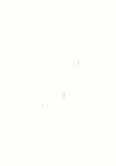 C=C/C(=C(/F)C(C)(C)C(O)F)C(F)(F)F